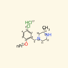 CCCOc1ccc(Cl)cc1CN1CCN[C@@H](C)C1.Cl